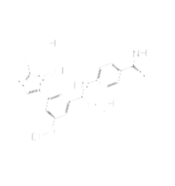 CCOc1cc(-c2cnc(C)n2O)cc(C(Nc2ccc(C(=N)N)cc2)C(=O)O)c1.Cl